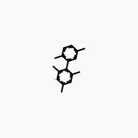 Cc1[c]c(C)c(-c2cc(C)ccc2C)c(C)c1